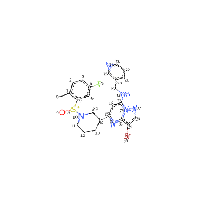 Cc1ccc(F)cc1[S+]([O-])N1CCCC(c2cc(NCc3cccnc3)n3ncc(Br)c3n2)C1